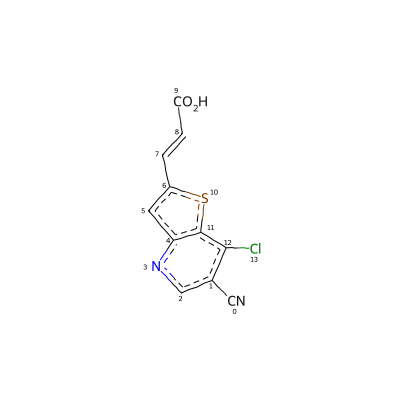 N#Cc1cnc2cc(C=CC(=O)O)sc2c1Cl